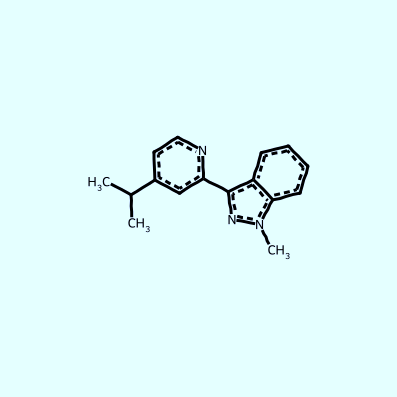 CC(C)c1ccnc(-c2nn(C)c3ccccc23)c1